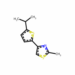 Cc1nc(-c2ccc(C(C)C)s2)cs1